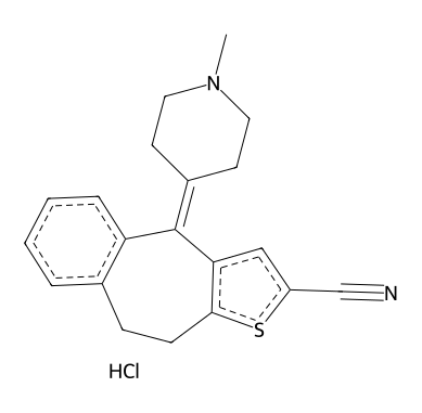 CN1CCC(=C2c3ccccc3CCc3sc(C#N)cc32)CC1.Cl